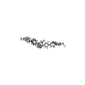 C[C@@](c1ccc(-c2ccc(N)nc2)cc1)(c1noc(-c2cnc(N3CCNCC3)cn2)n1)C1CC1